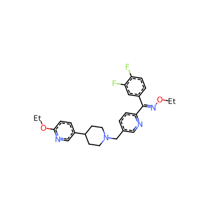 CCO/N=C(\c1ccc(F)c(F)c1)c1ccc(CN2CCC(c3ccc(OCC)nc3)CC2)cn1